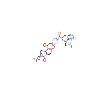 Cc1cc(C(=O)N2CCC3(CC2)CC(=O)c2cc(C(=O)N(C)C)ccc2O3)cc2cn[nH]c12